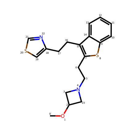 COC1CN(CCc2sc3ccccc3c2CCc2cscn2)C1